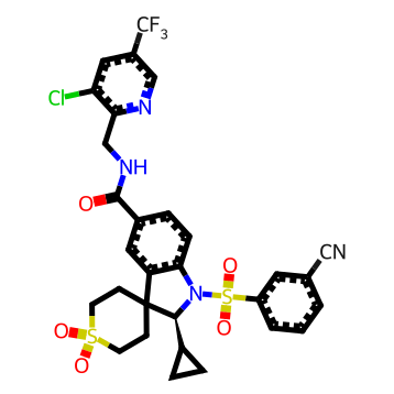 N#Cc1cccc(S(=O)(=O)N2c3ccc(C(=O)NCc4ncc(C(F)(F)F)cc4Cl)cc3C3(CCS(=O)(=O)CC3)[C@@H]2C2CC2)c1